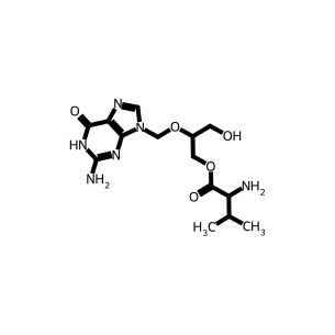 CC(C)C(N)C(=O)OCC(CO)OCn1cnc2c(=O)[nH]c(N)nc21